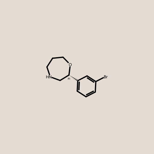 Brc1cccc([C@@H]2CNCCCO2)c1